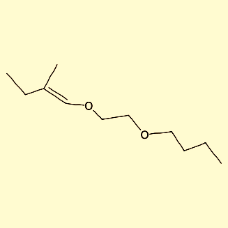 CCCCOCCO/C=C(\C)CC